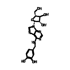 OC[C@H]1O[C@@H](n2cnc3c(NCc4ccc(O)c(O)c4)ncnc32)[C@@H](O)C1O